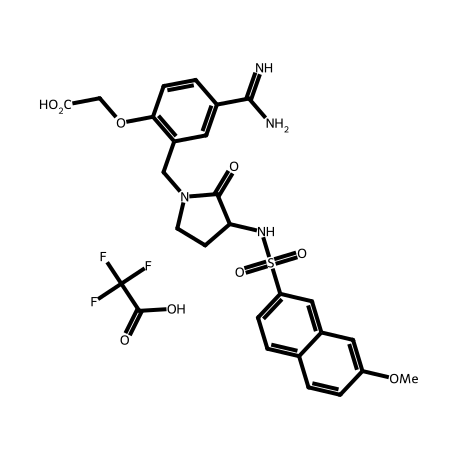 COc1ccc2ccc(S(=O)(=O)NC3CCN(Cc4cc(C(=N)N)ccc4OCC(=O)O)C3=O)cc2c1.O=C(O)C(F)(F)F